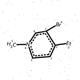 CCc1cc[n+](C)cc1Br